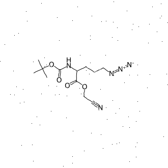 CC(C)(C)OC(=O)NC(CCCN=[N+]=[N-])C(=O)OCC#N